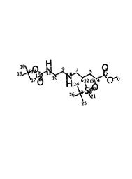 COC(=O)[C@H](CCCNCCNC(=O)OC(C)(C)C)O[Si](C)(C)C(C)(C)C